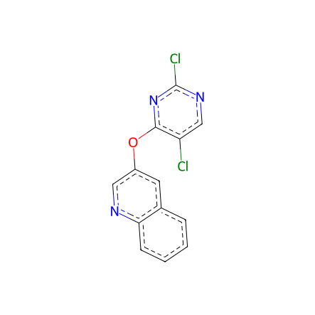 Clc1ncc(Cl)c(Oc2cnc3ccccc3c2)n1